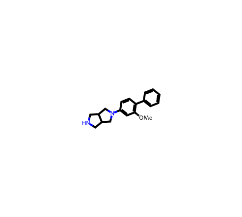 COc1cc(N2CC3CNCC3C2)ccc1-c1ccccc1